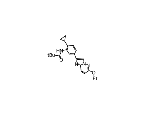 CCOc1ccc2nc(-c3ccc(C4CC4)c(NC(=O)C(C)(C)C)c3)cn2n1